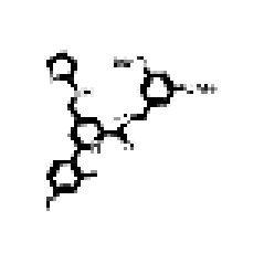 COc1cc(CNC(=O)c2cc(CNC3=NCCC3)cc(-c3ccc(F)cc3C)n2)cc(OC)c1